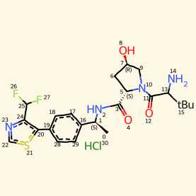 C[C@H](NC(=O)[C@@H]1C[C@@H](O)CN1C(=O)C(N)C(C)(C)C)c1ccc(-c2scnc2C(F)F)cc1.Cl